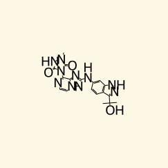 Cn1[nH]c(=O)n(-c2nccn3nc(Nc4ccc5c(C(C)(C)O)n[nH]c5c4)nc23)c1=O